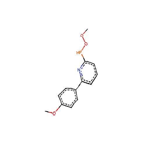 COOPc1cccc(-c2ccc(OC)cc2)n1